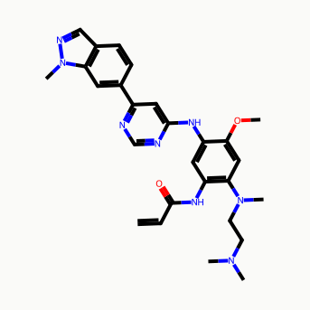 C=CC(=O)Nc1cc(Nc2cc(-c3ccc4cnn(C)c4c3)ncn2)c(OC)cc1N(C)CCN(C)C